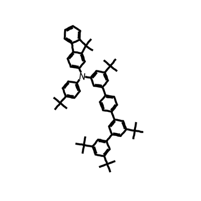 CC(C)(C)c1ccc(N(c2cc(-c3ccc(-c4cc(-c5cc(C(C)(C)C)cc(C(C)(C)C)c5)cc(C(C)(C)C)c4)cc3)cc(C(C)(C)C)c2)c2ccc3c(c2)C(C)(C)c2ccccc2-3)cc1